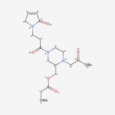 COCC(=O)OCC1CN(C(=O)CCN2CC=CC2=O)CCN1CC(=O)OCC(C)C